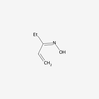 C=CC(CC)=NO